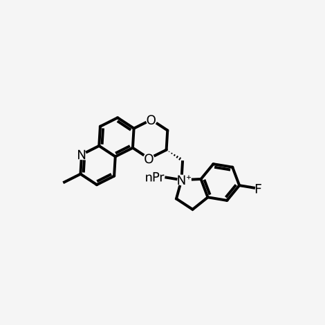 CCC[N+]1(C[C@H]2COc3ccc4nc(C)ccc4c3O2)CCc2cc(F)ccc21